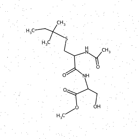 CCC(C)(C)SCC(NC(C)=O)C(=O)NC(CO)C(=O)OC